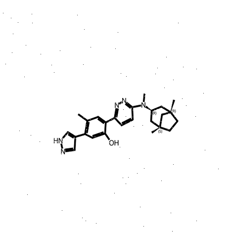 Cc1cc(-c2ccc(N(C)[C@H]3C[C@]4(C)CC[C@](C)(C3)C4)nn2)c(O)cc1-c1cn[nH]c1